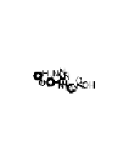 Nc1ncnc2c1c(-c1ccc(Oc3ccccc3)cc1)nn2[C@@H]1CCCN(C(=O)CO)C1